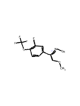 COC/C(=N\O)c1ccc(OC(F)(F)F)c(F)c1